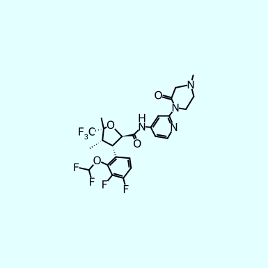 C[C@H]1[C@@H](c2ccc(F)c(F)c2OC(F)F)[C@H](C(=O)Nc2ccnc(N3CCN(C)CC3=O)c2)O[C@@]1(C)C(F)(F)F